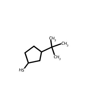 CC(C)(C)C1CCC(S)C1